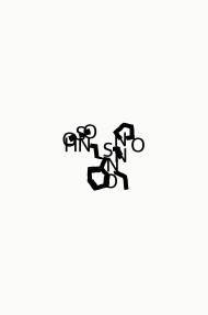 CCC(=O)N1N=C(N2CCCC2=O)S[C@@]1(CCNS(C)(=O)=O)c1ccccc1